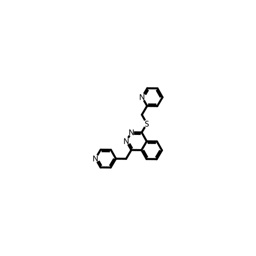 c1ccc(CSc2nnc(Cc3ccncc3)c3ccccc23)nc1